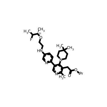 Cc1ncc(-c2ccc(NCCO[C@@H](C)C(C)F)cn2)c(N2CCC(C)(C)CC2)c1CC(=O)OC(C)C